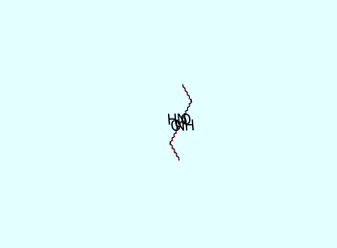 CCCCCCCC/C=C\CCCCCCCC(=O)NC=CNC(=O)CCCCCCC/C=C\CCCCCCCC